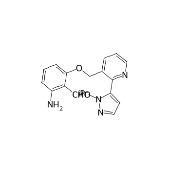 CC(C)n1nccc1-c1ncccc1COc1cccc(N)c1C=O